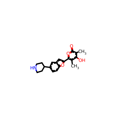 Cc1c(-c2cc3cc(C4CCNCC4)ccc3o2)oc(=O)c(C)c1O